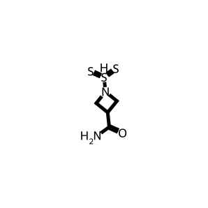 NC(=O)C1CN([SH](=S)=S)C1